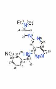 CCN(CC)C1(C)CN(c2cc3c(N[C@H](C)c4cccc(C#N)c4C)nnc(C)c3cn2)C1